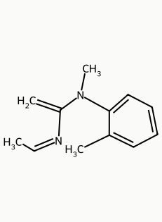 C=C(/N=C\C)N(C)c1ccccc1C